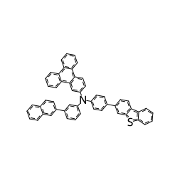 c1cc(-c2ccc3ccccc3c2)cc(N(c2ccc(-c3ccc4c(c3)sc3ccccc34)cc2)c2ccc3c4ccccc4c4ccccc4c3c2)c1